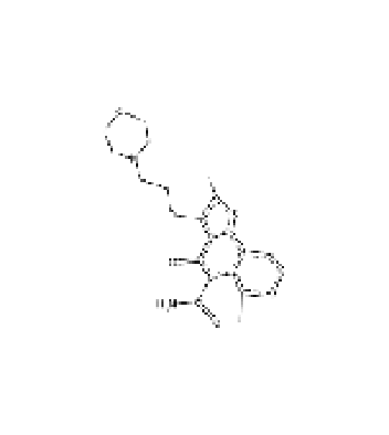 Cc1sc2c(c1OCCN1CCOCC1)c(=O)n(C(N)=O)c1c(C)cccc21